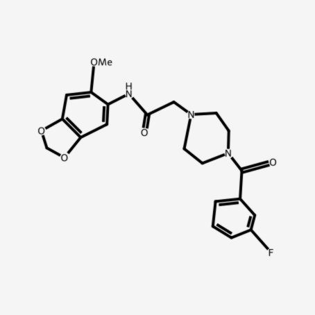 COc1cc2c(cc1NC(=O)CN1CCN(C(=O)c3cccc(F)c3)CC1)OCO2